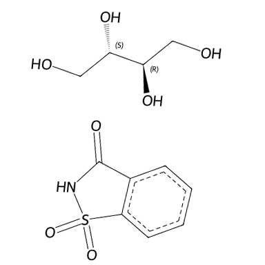 O=C1NS(=O)(=O)c2ccccc21.OC[C@@H](O)[C@@H](O)CO